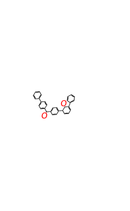 O=C(c1ccc(-c2ccccc2)cc1)c1ccc(C2C=CC=C3c4ccccc4OC32)cc1